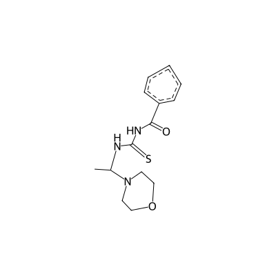 CC(NC(=S)NC(=O)c1ccccc1)N1CCOCC1